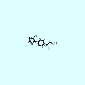 Cc1ncsc1-c1ccc([C@@H](C)CO)cc1